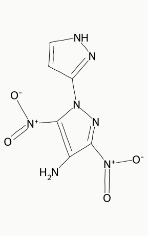 Nc1c([N+](=O)[O-])nn(-c2cc[nH]n2)c1[N+](=O)[O-]